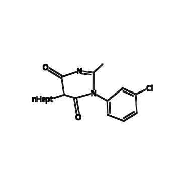 CCCCCCCC1C(=O)N=C(C)N(c2cccc(Cl)c2)C1=O